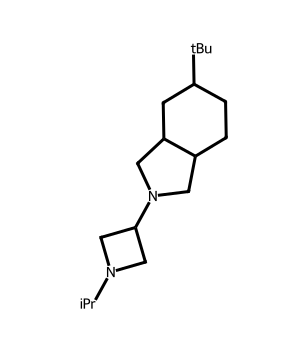 CC(C)N1CC(N2CC3CCC(C(C)(C)C)CC3C2)C1